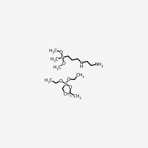 CCO[Si](CC)(OCC)OCC.CO[Si](C)(CCCNCCN)OC